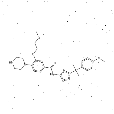 COCCOc1cc(C(=O)Nc2nc(C(C)(C)c3ccc(OC)cc3)cs2)ccc1N1CCNCC1